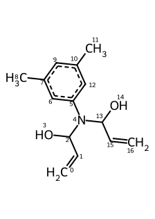 C=CC(O)N(c1cc(C)cc(C)c1)C(O)C=C